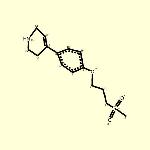 CS(=O)(=O)CCCOc1ccc(C2=CCNCC2)cc1